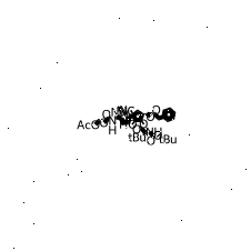 CC(=O)OCOC(=O)Nc1ncnn2c([C@]3(C#N)C[C@H](COC(=O)Cc4ccccc4)[C@@H](OC(=O)[C@@H](NC(=O)OC(C)(C)C)C(C)(C)C)[C@H]3O)ccc12